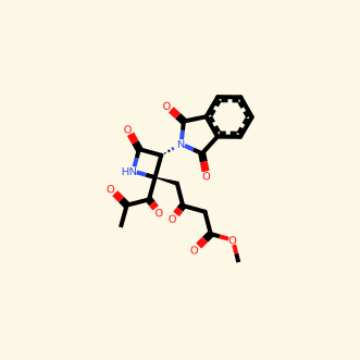 COC(=O)CC(=O)C[C@@]1(C(=O)C(C)=O)NC(=O)[C@@H]1N1C(=O)c2ccccc2C1=O